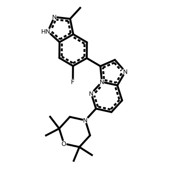 Cc1n[nH]c2cc(F)c(-c3cnc4ccc(N5CC(C)(C)OC(C)(C)C5)nn34)cc12